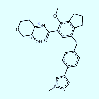 COc1c(C(=O)/N=C2/CCOC[C@@H]2O)cc(Cc2ccc(-c3cnn(C)c3)cc2)c2c1CCC2